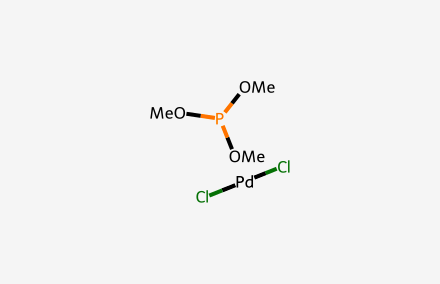 COP(OC)OC.[Cl][Pd][Cl]